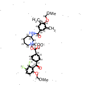 COCOc1ccc(F)c(F)c1C(=O)c1ccc(C(=O)O[N+]2(C(=O)[O-])CCCCC(NC(=O)c3cc(C)c(OCOC)c(C)c3)C2)cc1